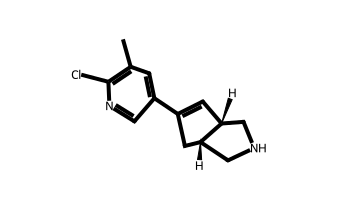 Cc1cc(C2=C[C@@H]3CNC[C@@H]3C2)cnc1Cl